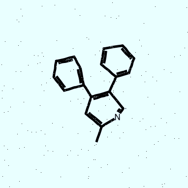 Cc1cc(-c2ccccc2)c(-c2ccccc2)[c]n1